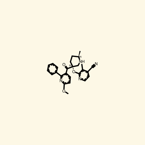 COc1ccc(C(=O)[C@@]2(Oc3nccc(C#N)c3C)CC[C@@H](C)NC2)c(-c2ccccc2)n1